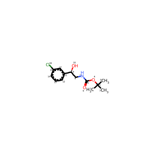 CC(C)(C)OC(=O)NC[C@H](O)c1cccc(Cl)c1